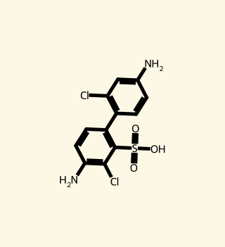 Nc1ccc(-c2ccc(N)c(Cl)c2S(=O)(=O)O)c(Cl)c1